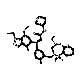 CC[C@@H]1CN(Cc2cc(C(=CC(=O)Nc3cccnc3)c3cc(OC)c4c(nnn4CC)c3C)ccc2C)S(=O)(=O)c2cccnc2O1